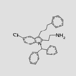 NCCc1c(CCCc2ccccc2)c2cc(Cl)ccc2n1C(c1ccccc1)c1ccccc1